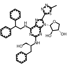 Cc1nnc(-c2nc3c(NCC(c4ccccc4)c4ccccc4)nc(N[C@H](CO)Cc4ccccc4)nc3n2[C@@H]2OC[C@H](O)[C@H]2O)s1